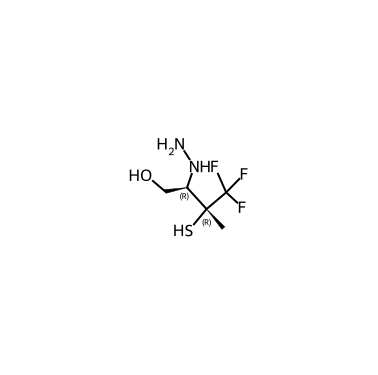 C[C@@](S)([C@@H](CO)NN)C(F)(F)F